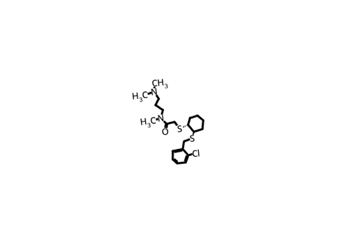 CN(C)CCCN(C)C(=O)CS[C@@H]1CCCC[C@H]1SCc1ccccc1Cl